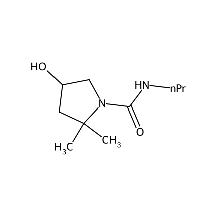 CCCNC(=O)N1CC(O)CC1(C)C